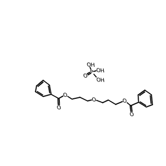 O=C(OCCCOCCCOC(=O)c1ccccc1)c1ccccc1.O=P(O)(O)O